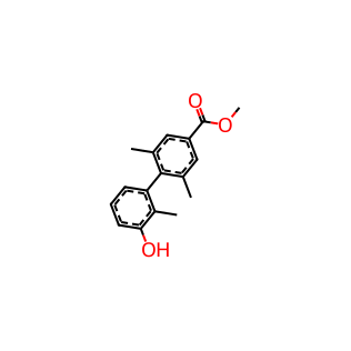 COC(=O)c1cc(C)c(-c2cccc(O)c2C)c(C)c1